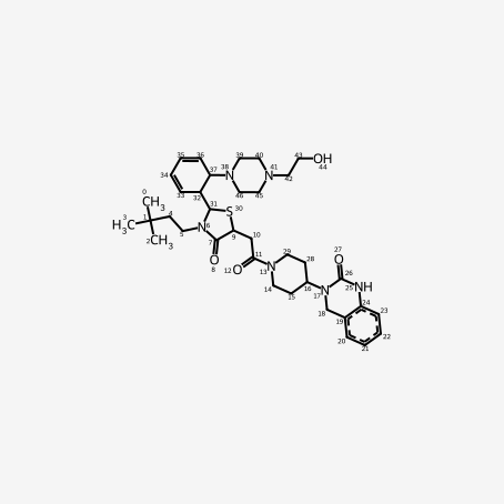 CC(C)(C)CCN1C(=O)C(CC(=O)N2CCC(N3Cc4ccccc4NC3=O)CC2)SC1C1C=CC=CC1N1CCN(CCO)CC1